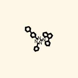 c1ccc(-c2ccc(-c3nc(-c4ccccc4)nc(N4c5ccccc5-c5cccc6cccc4c56)n3)cc2)cc1